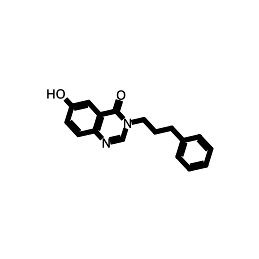 O=c1c2cc(O)ccc2ncn1CCCc1ccccc1